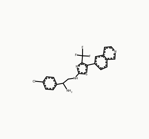 NC(CNc1nc(C(F)(F)F)c(-c2ccc3cnccc3c2)s1)c1ccc(Cl)cc1